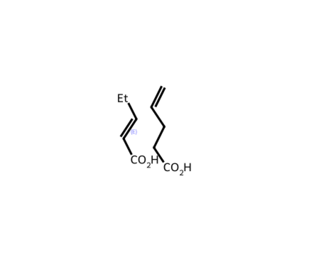 C=CCCC(=O)O.CC/C=C/C(=O)O